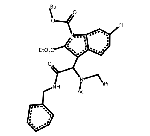 CCOC(=O)c1c(C(C(=O)NCc2ccccc2)N(CC(C)C)C(C)=O)c2ccc(Cl)cc2n1C(=O)OC(C)(C)C